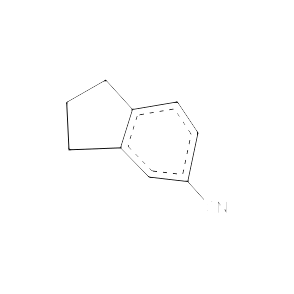 N#Cc1ccc2c(c1)CCC2